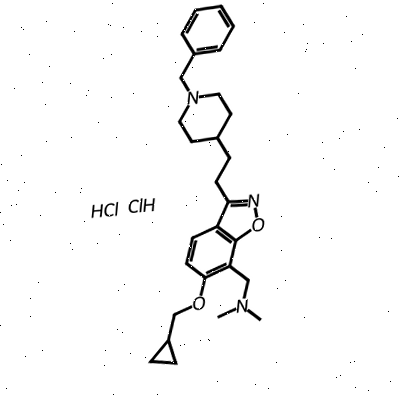 CN(C)Cc1c(OCC2CC2)ccc2c(CCC3CCN(Cc4ccccc4)CC3)noc12.Cl.Cl